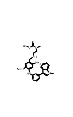 COc1cc(CNCCN(C)C(=O)OC(C)(C)C)c(N)cc1Nc1nccc(-c2cn(C)c3ccccc23)n1